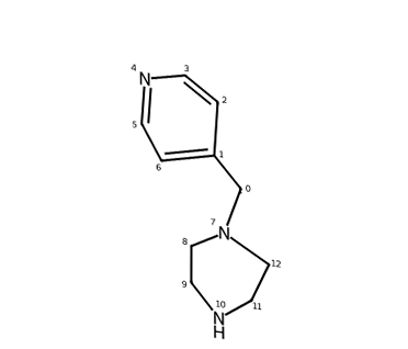 [CH](c1ccncc1)N1CCNCC1